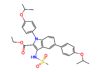 CCOC(=O)c1c(NS(C)(=O)=O)c2cc(-c3ccc(OC(C)C)cc3)ccc2n1-c1ccc(OC(C)C)cc1